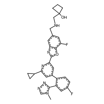 Cn1cnnc1-c1cc(F)ccc1-c1cc(-c2nc3cc(CNCC4(O)CCC4)cc(F)c3o2)nc(C2CC2)c1